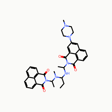 CCC(NC(C)N1C(=O)c2cccc3cc(N4CCN(C)CC4)cc(c23)C1=O)N(C)C(C)N1C(=O)c2cccc3cccc(c23)C1=O